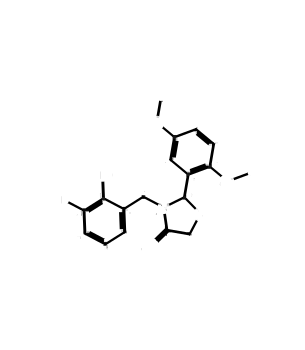 COc1ccc(OC)c(C2SCC(=O)N2Cc2cccc(F)c2F)c1